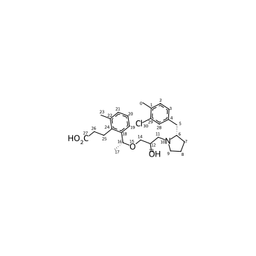 Cc1ccc(C[C@@H]2CCCN2CC(O)CO[C@H](C)c2cccc(C)c2CCC(=O)O)cc1Cl